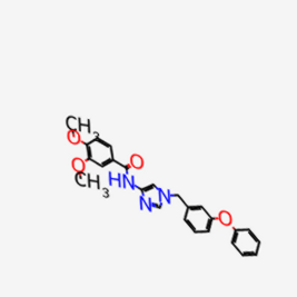 COc1ccc(C(=O)Nc2cn(Cc3cccc(Oc4ccccc4)c3)cn2)cc1OC